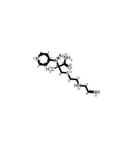 CC(=O)N(c1ccncc1)[C@@](C)(CSCCNCC=N)C(N)=O